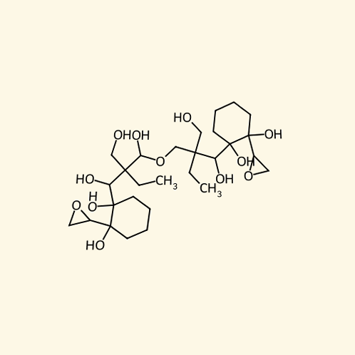 CCC(CO)(COC(O)C(CC)(CO)C(O)C1(O)CCCCC1(O)C1CO1)C(O)C1(O)CCCCC1(O)C1CO1